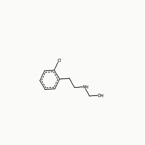 OCNCCc1ccccc1Cl